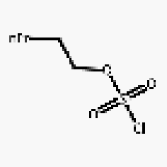 CCCCCOS(=O)(=O)Cl